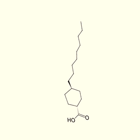 CCCCCCCCC[C@H]1CC[C@H](C(=O)O)CC1